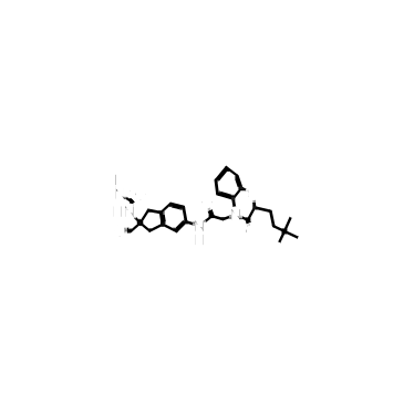 CC(C)(C)CCC1Oc2ccccc2N(CC(=O)Nc2ccc3c(c2)CC(C=O)(NC(N)=O)C3)C1=O